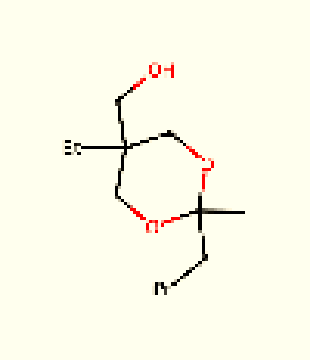 CCC1(CO)COC(C)(CC(C)C)OC1